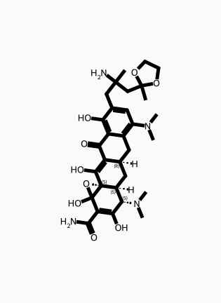 CN(C)c1cc(CC(C)(N)CC2(C)OCCO2)c(O)c2c1C[C@H]1C[C@H]3[C@H](N(C)C)C(O)=C(C(N)=O)C4(O)O[C@]34C(O)=C1C2=O